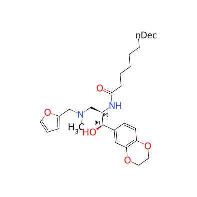 CCCCCCCCCCCCCCCC(=O)N[C@H](CN(C)Cc1ccco1)[C@H](O)c1ccc2c(c1)OCCO2